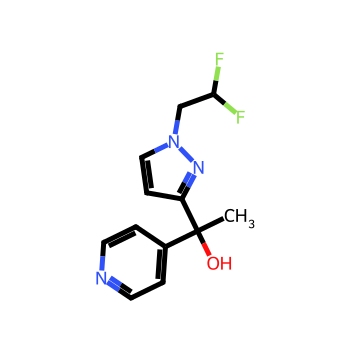 CC(O)(c1ccncc1)c1ccn(CC(F)F)n1